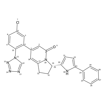 O=c1cc(-c2cc(Cl)ccc2-n2cnnn2)cc2n1[C@H](c1ccc(-c3cc[c]cc3)[nH]1)CC2